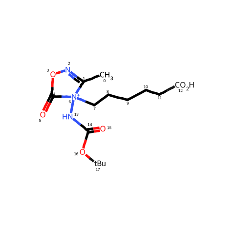 CC1=NOC(=O)[N+]1(CCCCCC(=O)O)NC(=O)OC(C)(C)C